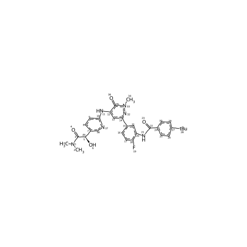 CN(C)C(=O)[C@H](O)c1ccc(Nc2cc(-c3ccc(F)c(NC(=O)c4ccc(C(C)(C)C)cc4)c3)nn(C)c2=O)nc1